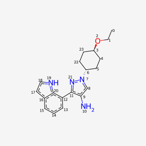 CCO[C@H]1CC[C@H](n2cc(N)c(-c3cccc4cc[nH]c34)n2)CC1